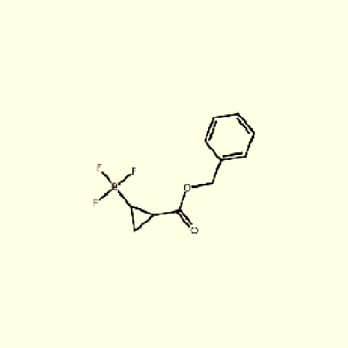 O=C(OCc1ccccc1)C1CC1[B-](F)(F)F